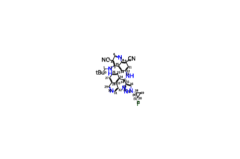 CC(C)(C)CNc1c(C#N)cnc2c(C#N)cc(N[C@H](c3cn([C@@H]4C[C@@H]4F)nn3)c3cccc4cnccc34)cc12